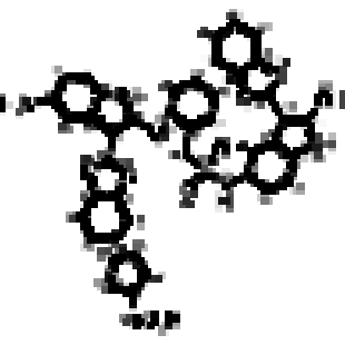 Nc1ccc2[nH]c(O)c(-c3nc4ccccc4o3)c2c1.O=S(=O)(Cc1ccccc1)Nc1ccc2[nH]c(O)c(-c3nc4ccccc4o3)c2c1.O=S(=O)(O)c1cccs1